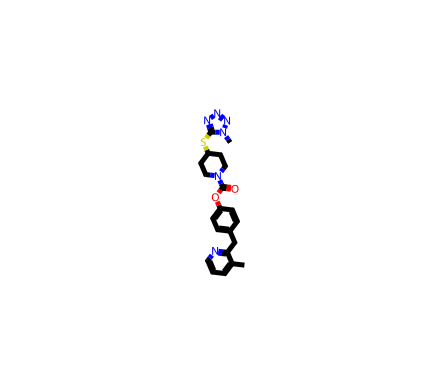 Cc1cccnc1Cc1ccc(OC(=O)N2CCC(Sc3nnnn3C)CC2)cc1